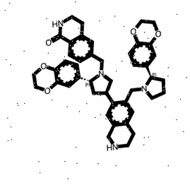 O=C1NCCc2cc(CN3CC(c4cc5c(cc4CN4CCC[C@@H]4c4ccc6c(c4)OCCO6)CCNC5)C[C@@H]3c3ccc4c(c3)OCCO4)ccc21